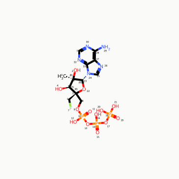 C[C@@]1(O)[C@H](O)[C@@](CF)(COP(=O)(O)OP(=O)(O)OP(=O)(O)O)O[C@H]1n1cnc2c(N)ncnc21